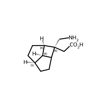 NC[C@]1(CC(=O)O)C2CC[C@H]3CC[C@@H]1[C@@H]23